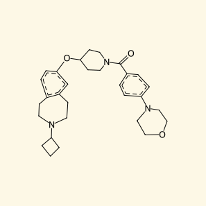 O=C(c1ccc(N2CCOCC2)cc1)N1CCC(Oc2ccc3c(c2)CCN(C2CCC2)CC3)CC1